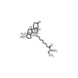 CCN(C)C(=O)CCCCCCC[C@@H]1C[C@H]2CC(=O)CC[C@]2(C)[C@H]2CC[C@]3(C)[C@@H](O)CC[C@H]3[C@H]12